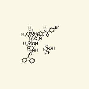 COC(=O)[C@H](CCCCN=c1nc(NC(=O)c2ccc(Br)cc2)ccn1[C@@H]1O[C@H](CO)[C@H]2OC(C)(C)O[C@H]21)NC(=O)OCC1c2ccccc2-c2ccccc21.O=C(O)C(F)(F)F